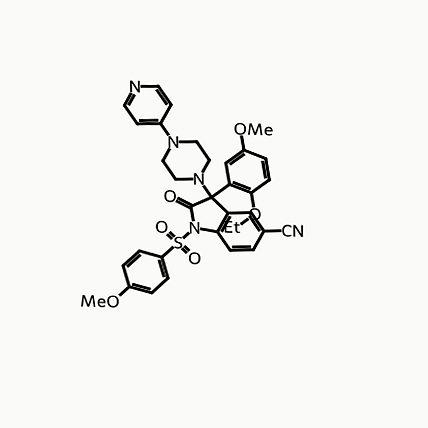 CCOc1ccc(OC)cc1C1(N2CCN(c3ccncc3)CC2)C(=O)N(S(=O)(=O)c2ccc(OC)cc2)c2ccc(C#N)cc21